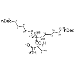 CCCC(=O)O.CCCCCCCCCCCCCCCSC(CC)(SCCCCCCCCCCCCCCC)C(=O)O